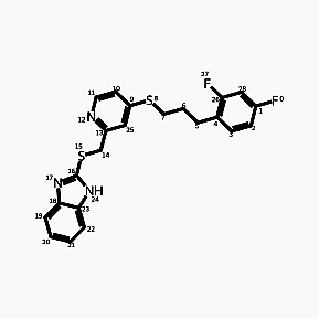 Fc1ccc(CCCSc2ccnc(CSc3nc4ccccc4[nH]3)c2)c(F)c1